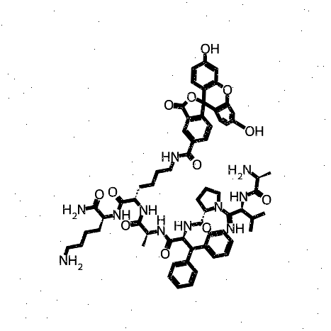 CC(C)[C@H](NC(=O)[C@H](C)N)C(=N)N1CCC[C@H]1C(=O)N[C@H](C(=O)N[C@@H](C)C(=O)N[C@@H](CCCCNC(=O)c1ccc2c(c1)C(=O)OC21c2ccc(O)cc2Oc2cc(O)ccc21)C(=O)N[C@@H](CCCCN)C(N)=O)C(c1ccccc1)c1ccccc1